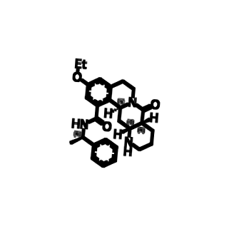 CCOc1cc2c(c(C(=O)N[C@H](C)c3ccccc3)c1)[C@@H]1C[C@H]3NCCC[C@H]3C(=O)N1CC2